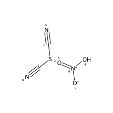 N#CSC#N.O=[N+]([O-])O